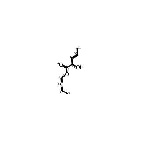 CC=C=COC(=O)C(O)C=CC